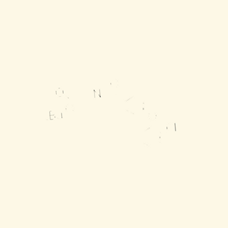 CC(C)(C)OC(=O)CCN1CCOC(c2ccc(Oc3ccccc3C(F)(F)F)cc2)C1